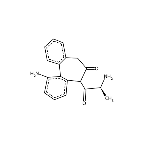 C[C@H](N)C(=O)C1C(=O)Cc2ccccc2-c2c(N)cccc21